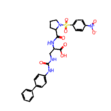 O=C(NCC(NC(=O)C1CCCN1S(=O)(=O)c1ccc([N+](=O)[O-])cc1)C(=O)O)Nc1ccc(-c2ccccc2)cc1